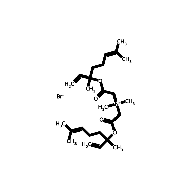 C=CC(C)(CCC=C(C)C)OC(=O)C[N+](C)(C)CC(=O)OC(C)(C=C)CCC=C(C)C.[Br-]